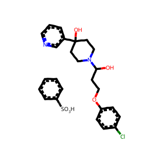 O=S(=O)(O)c1ccccc1.OC(CCOc1ccc(Cl)cc1)N1CCC(O)(c2cccnc2)CC1